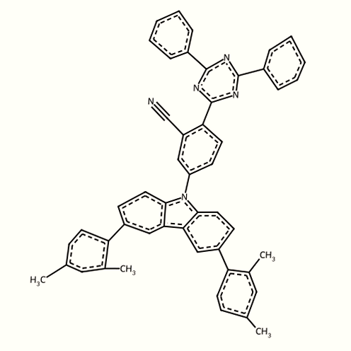 Cc1ccc(-c2ccc3c(c2)c2cc(-c4ccc(C)cc4C)ccc2n3-c2ccc(-c3nc(-c4ccccc4)nc(-c4ccccc4)n3)c(C#N)c2)c(C)c1